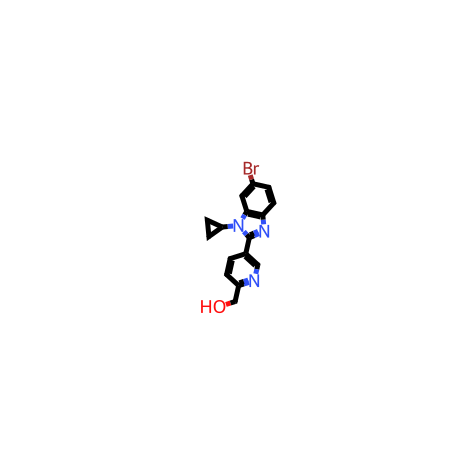 OCc1ccc(-c2nc3ccc(Br)cc3n2C2CC2)cn1